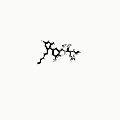 C=CCCCCc1cc(F)cc(C)c1-c1cc(Cl)c(F)c([C@H](CC(=O)OCC)NC(=O)[C@@H](CC=C)OS(C)(=O)=O)c1